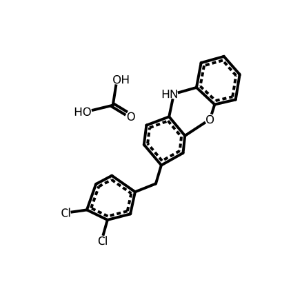 Clc1ccc(Cc2ccc3c(c2)Oc2ccccc2N3)cc1Cl.O=C(O)O